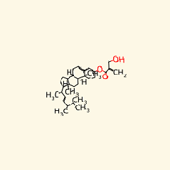 C=C(CO)C(=O)O[C@H]1CC[C@@]2(C)C(=CC[C@H]3[C@@H]4CC[C@H]([C@H](C)/C=C/[C@H](C)C(C)C)[C@@]4(C)CC[C@@H]32)C1